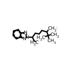 [CH2]C(CCCC(CC)n1nc2ccccc2n1)C(C)(C)C